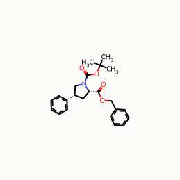 CC(C)(C)OC(=O)N1C[C@@H](c2ccccc2)C[C@H]1C(=O)OCc1ccccc1